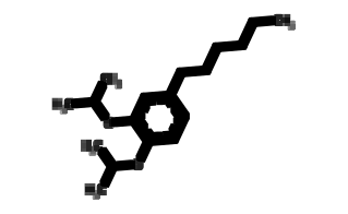 CCCCCCc1ccc(OC(C)C)c(OC(C)C)c1